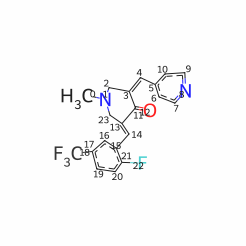 CN1CC(=Cc2ccncc2)C(=O)/C(=C/c2cc(C(F)(F)F)ccc2F)C1